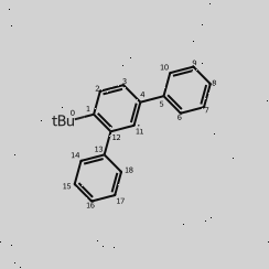 CC(C)(C)c1ccc(-c2ccccc2)[c]c1-c1ccccc1